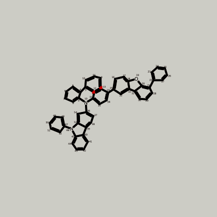 c1ccc(-c2ccccc2N(c2ccc(-c3ccc4oc5c(-c6ccccc6)cccc5c4c3)cc2)c2ccc3c4ccccc4n(-c4ccccc4)c3c2)cc1